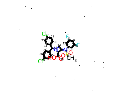 CS(=O)(=O)N(c1cc(F)cc(F)c1)C1CN(C(c2ccc(Cl)cc2)c2ccc(Cl)cc2)C1C(=O)O